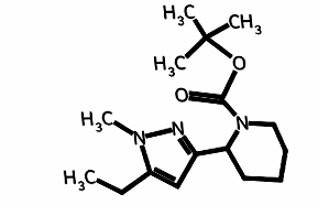 CCc1cc(C2CCCCN2C(=O)OC(C)(C)C)nn1C